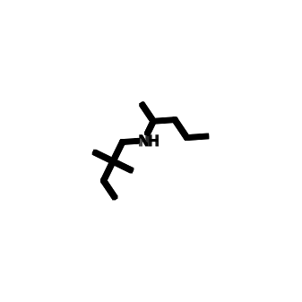 CCCC(C)NCC(C)(C)CC